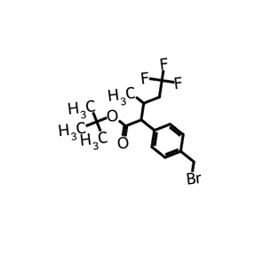 CC(CC(F)(F)F)C(C(=O)OC(C)(C)C)c1ccc(CBr)cc1